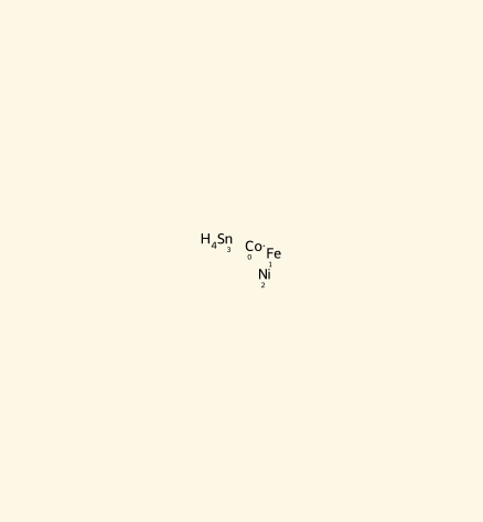 [Co].[Fe].[Ni].[SnH4]